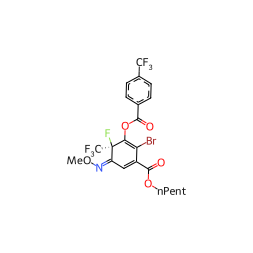 CCCCCOC(=O)C1=CC(=NOC)[C@](F)(C(F)(F)F)C(OC(=O)c2ccc(C(F)(F)F)cc2)=C1Br